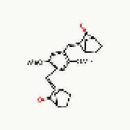 COc1cc(/C=C2/C(=O)C3CCC2C3)c(OC)cc1/C=C1/C(=O)C2CCC1C2